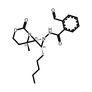 CCCCC[C@H]1N(NC(=O)c2ccccc2C=O)[C@]12N1C(=O)OCC[C@]12C